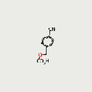 N#Cc1ccc(COC(=O)O)cc1